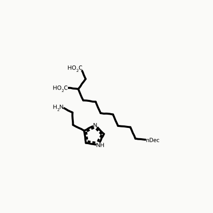 CCCCCCCCCCCCCCCCCC(CC(=O)O)C(=O)O.NCCc1c[nH]cn1